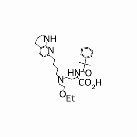 CCOCCN(CCCCc1ccc2c(n1)NCCC2)CCC(NC(=O)C(C)(C)c1ccccc1)C(=O)O